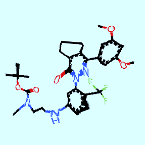 COc1cc(OC)cc(-c2nn(-c3cc(NCCN(C)C(=O)OC(C)(C)C)ccc3C(F)(F)F)c(=O)c3c2CCC3)c1